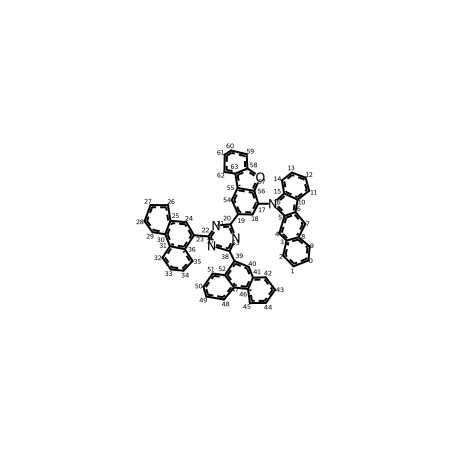 c1ccc2cc3c(cc2c1)c1ccccc1n3-c1cc(-c2nc(-c3cc4ccccc4c4ccccc34)nc(-c3cc4ccccc4c4ccccc34)n2)cc2c1oc1ccccc12